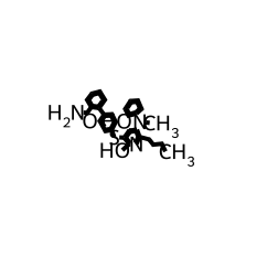 CCCCc1nc(O)c(Sc2ccc(-c3ccccc3C(N)=O)cc2)c(O)c1N(C)c1ccccc1